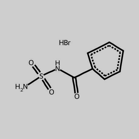 Br.NS(=O)(=O)NC(=O)c1ccccc1